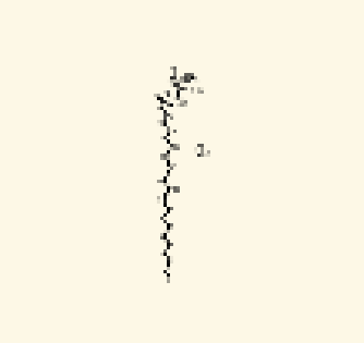 CCCCCCCCCCCCCCCCCCCC[N+](C)(C)CC(C)[Si](OC)(OC)OC.[Cl-]